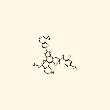 CCc1c(C2CNCCN2C(=O)OC(C)(C)C)c(=O)n2nc(-c3cc4c(s3)C3(CC3)COC4)nc2n1CC(=O)Nc1ccc(C(F)(F)F)cc1Cl